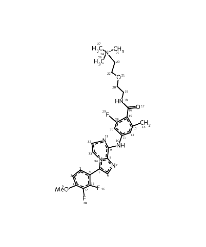 COc1ccc(-c2cnc3c(Nc4cc(C)c(C(=O)NCCOCC[N+](C)(C)C)c(F)c4)nccn23)c(F)c1F